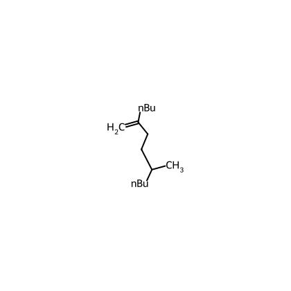 C=C(CCCC)CCC(C)CCCC